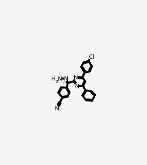 N#Cc1ccc(/C(=N\N)c2nc(-c3ccccc3)cc(-c3ccc(Cl)cc3)n2)cc1